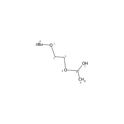 CCCCOCCO[C](C)O